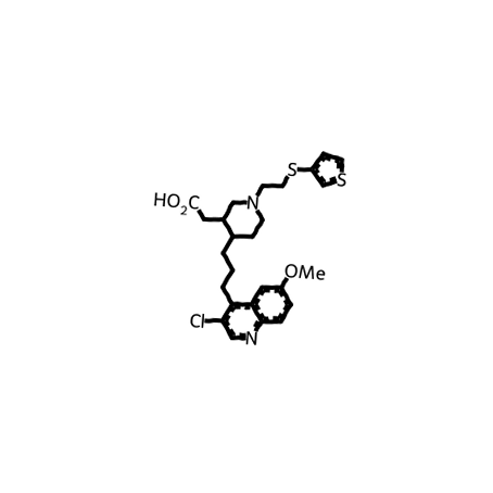 COc1ccc2ncc(Cl)c(CCCC3CCN(CCSc4ccsc4)CC3CC(=O)O)c2c1